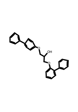 OC(COc1ccc(-c2ccccc2)cc1)COc1ccccc1-c1ccccc1